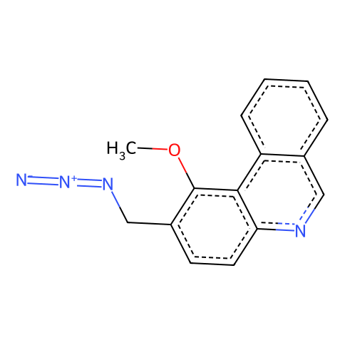 COc1c(CN=[N+]=[N-])ccc2ncc3ccccc3c12